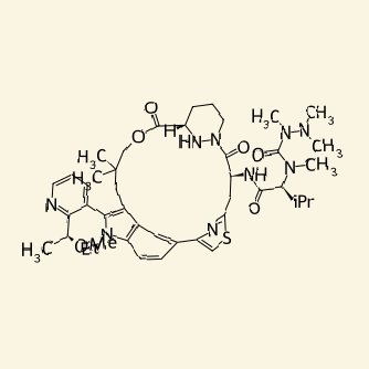 CCn1c(-c2cccnc2[C@H](C)OC)c2c3cc(ccc31)-c1csc(n1)C[C@H](NC(=O)[C@H](C(C)C)N(C)C(=O)N(C)N(C)C)C(=O)N1CCC[C@H](N1)C(=O)OCC(C)(C)C2